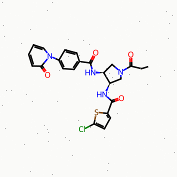 CCC(=O)N1C[C@H](NC(=O)c2ccc(-n3ccccc3=O)cc2)[C@H](NC(=O)c2ccc(Cl)s2)C1